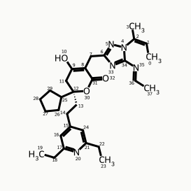 C/C=C(/C)n1nc(CC2=C(O)C[C@](CCc3cc(CC)nc(CC)c3)(C3CCCC3)OC2=O)nc1/N=C/C